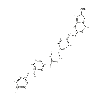 O=[N+]([O-])c1cn2c(n1)OC(COc1ccc(N3CCN(Cc4cccc(OCc5ccc(C(F)(F)F)cc5)c4)CC3)cc1)CC2